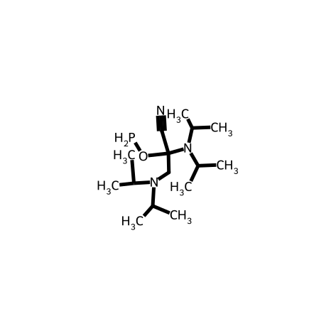 CC(C)N(CC(C#N)(OP)N(C(C)C)C(C)C)C(C)C